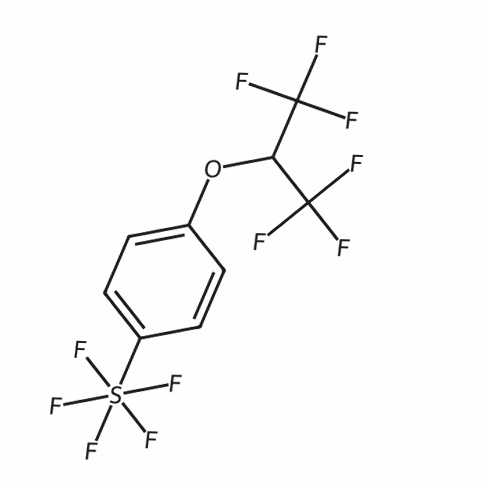 FC(F)(F)C(Oc1ccc(S(F)(F)(F)(F)F)cc1)C(F)(F)F